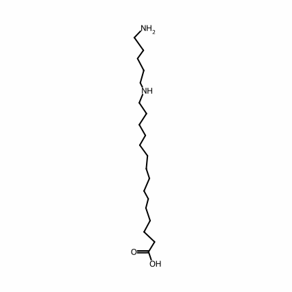 NCCCCCNCCCCCCCCCCCCCCC(=O)O